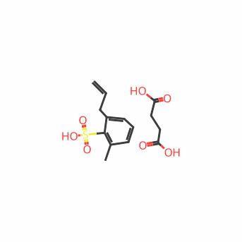 C=CCc1cccc(C)c1S(=O)(=O)O.O=C(O)CCC(=O)O